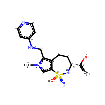 C=C(O)[C@H]1CCc2c(cn(C)c2CNc2ccncc2)S(=N)(=O)N1